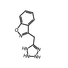 c1ccc2c(CC3=NNNN3)noc2c1